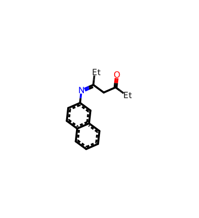 CCC(=O)CC(CC)=Nc1ccc2ccccc2c1